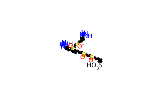 CC(C)(CCC[S+]([O-])CCC[S+]([O-])CCCC(C)(C)CS(=O)(=O)O)CC(CC(C)(C)c1nnn[nH]1)[S+]([O-])CC[S+]([O-])CCC(C)(C)c1nnn[nH]1